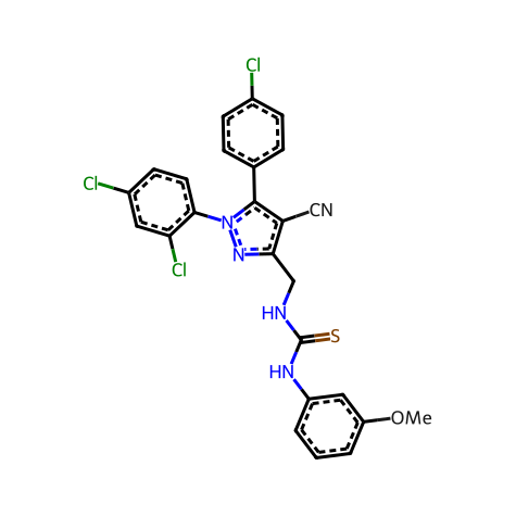 COc1cccc(NC(=S)NCc2nn(-c3ccc(Cl)cc3Cl)c(-c3ccc(Cl)cc3)c2C#N)c1